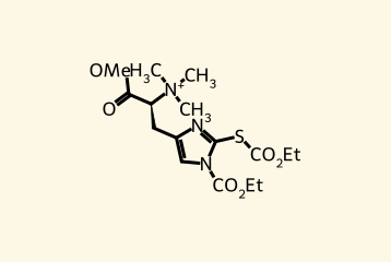 CCOC(=O)Sc1nc(C[C@@H](C(=O)OC)[N+](C)(C)C)cn1C(=O)OCC